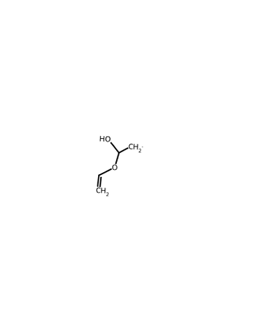 [CH2]C(O)OC=C